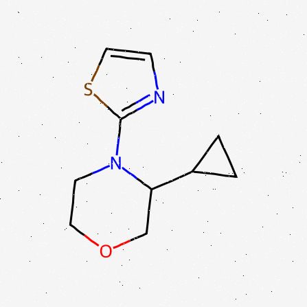 c1csc(N2CCOCC2C2CC2)n1